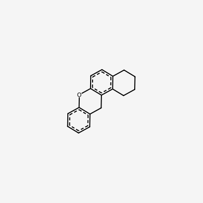 c1ccc2c(c1)Cc1c(ccc3c1CCCC3)O2